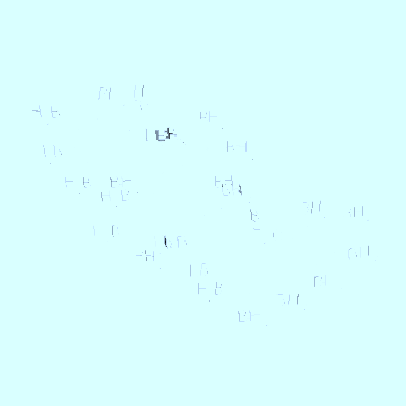 Bc1c(B)c(-c2c3c(B)c(B)c(B)c(B)c3c(-c3c(B)c(B)c4c(B)c(B)c(B)c(B)c4c3B)c3c(B)c(B)c(B)c(B)c23)c(B)c(B)c1-c1c(B)c(B)c(B)c2c1oc1c(B)c(B)c(B)c(B)c12